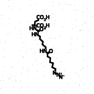 C[C@@](CCC(=O)O)(NC(=O)NCCCCCNC(=O)CCCCCCN=[N+]=[N-])C(=O)O